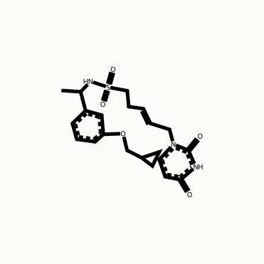 CC(NS(=O)(=O)CC/C=C/Cn1ccc(=O)[nH]c1=O)c1cccc(OCC2CC2)c1